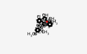 COc1ccc(S(=O)(=O)N2C(=O)C(c3nc4ccccc4o3)(N3C[C@H](O)C[C@H]3C(=O)N(C)C)c3cc(Cl)ccc32)c(OC)c1